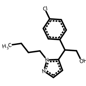 CCCCn1nccc1C(CO)c1ccc(Cl)cc1